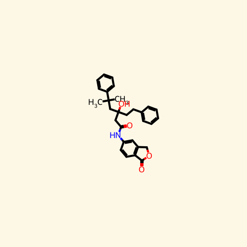 CC(C)(CC(O)(CCc1ccccc1)CC(=O)Nc1ccc2c(c1)COC2=O)c1ccccc1